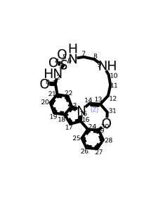 O=C1NS(=O)(=O)NCCNCCC/C2=C/n3c(cc4ccc1cc43)-c1ccccc1OC2